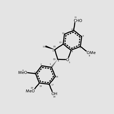 COc1cc([C@H]2Oc3c(OC)cc(C=O)cc3[C@@H]2C)cc(O)c1OC